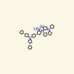 c1ccc(-c2ccc(N(c3ccc(-c4ccccc4)cc3)c3ccc(-c4ccc5c(c4)[nH]cnc4ccc(N(c6ccccc6)c6ccccc6)cc4n5-c4ccccc4)cc3)cc2)cc1